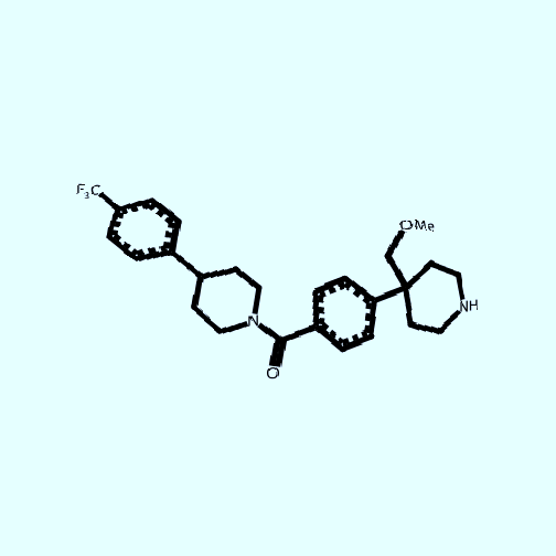 COCC1(c2ccc(C(=O)N3CCC(c4ccc(C(F)(F)F)cc4)CC3)cc2)CCNCC1